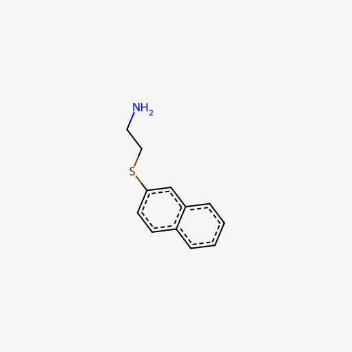 NCCSc1ccc2ccccc2c1